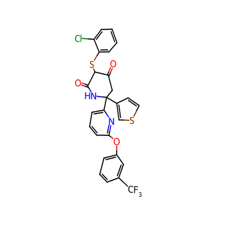 O=C1CC(c2ccsc2)(c2cccc(Oc3cccc(C(F)(F)F)c3)n2)NC(=O)C1Sc1ccccc1Cl